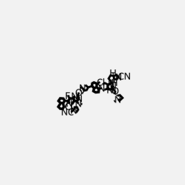 CN1CCC[C@H]1COc1nc2c(c(N3CC[C@@H]4CN(C#N)C[C@@H]43)n1)CCN(c1cccc3c(C4C[C@@H](COc5nc(N(C)[C@@H]6CCN(C#N)C6)c6cnc(-c7cccc8cccc(Cl)c78)c(F)c6n5)N(C)C4)ccc(Cl)c13)C2